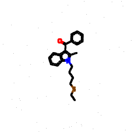 CCSCCCCn1c(C)c(C(=O)c2ccccc2)c2ccccc21